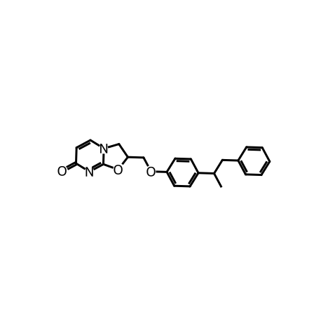 CC(Cc1ccccc1)c1ccc(OCC2Cn3ccc(=O)nc3O2)cc1